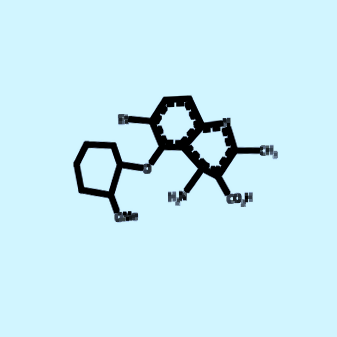 CCc1ccc2nc(C)c(C(=O)O)c(N)c2c1OC1CCCCC1OC